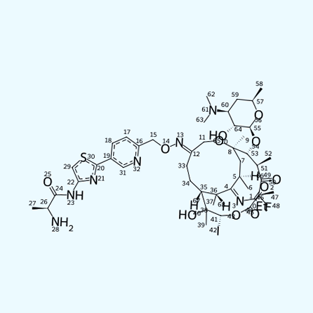 CCC(=O)/N=C1\[C@H](C)C[C@@]2(C)OC/C(=N/OCc3ccc(-c4nc(NC(=O)[C@H](C)N)cs4)cn3)CC[C@H]([C@H]1C)C(C)(O)[C@@H](I)OC(=O)[C@@](C)(F)C(=O)[C@H](C)[C@H]2O[C@@H]1O[C@H](C)C[C@H](N(C)C)[C@H]1O